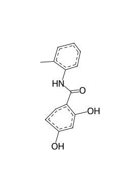 Cc1ccccc1NC(=O)c1ccc(O)cc1O